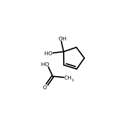 CC(=O)O.OC1(O)C=CCC1